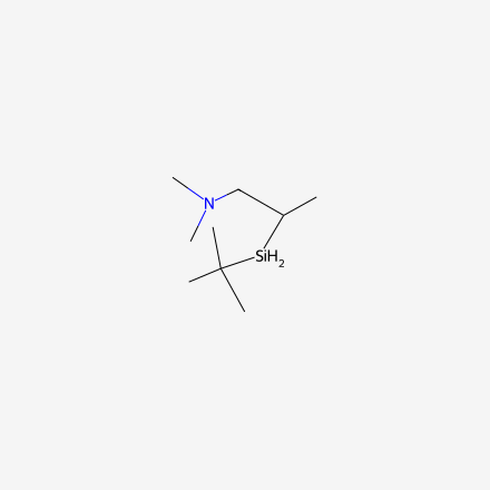 CC(CN(C)C)[SiH2]C(C)(C)C